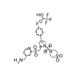 NCc1ccnc(S(=O)(=O)C[C@H]2C[C@@H](c3ccc(F)cc3)CN2S(=O)(=O)N2CCS(=O)(=O)CC2)c1.O=C(O)C(F)(F)F